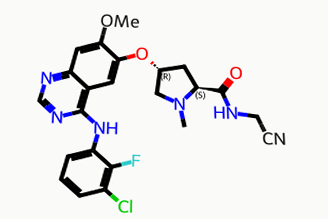 COc1cc2ncnc(Nc3cccc(Cl)c3F)c2cc1O[C@@H]1C[C@@H](C(=O)NCC#N)N(C)C1